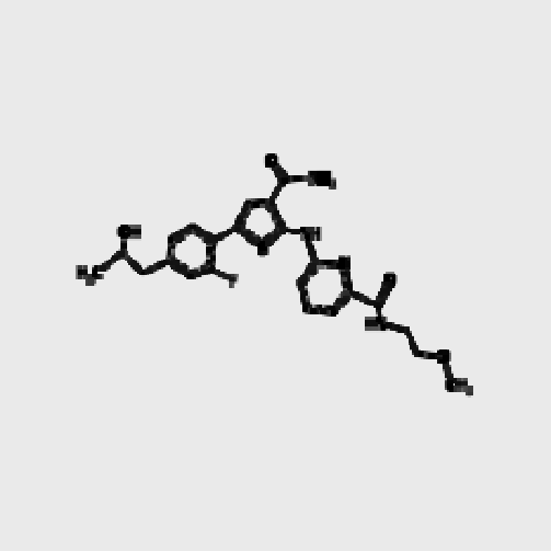 COCCNC(=O)c1cccc(Nc2sc(-c3ccc(CC(C)O)cc3F)cc2C(N)=O)n1